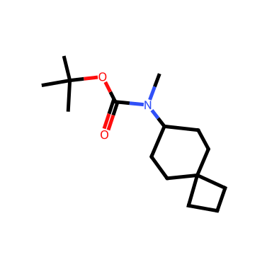 CN(C(=O)OC(C)(C)C)C1CCC2(CCC2)CC1